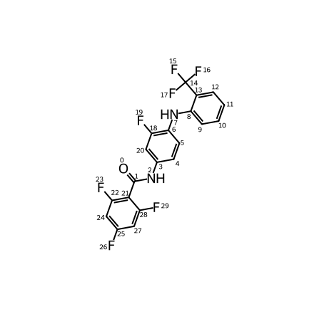 O=C(Nc1ccc(Nc2ccccc2C(F)(F)F)c(F)c1)c1c(F)cc(F)cc1F